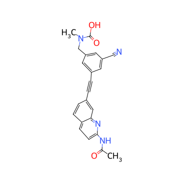 CC(=O)Nc1ccc2ccc(C#Cc3cc(C#N)cc(CN(C)C(=O)O)c3)cc2n1